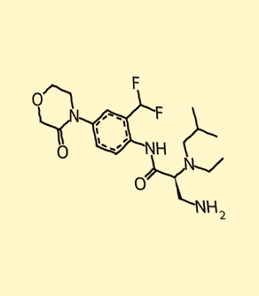 CCN(CC(C)C)[C@@H](CN)C(=O)Nc1ccc(N2CCOCC2=O)cc1C(F)F